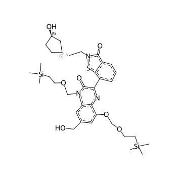 C[Si](C)(C)CCOCOc1cc(CO)cc2c1nc(-c1cccc3c(=O)n(CC[C@@H]4CC[C@@H](O)C4)sc13)c(=O)n2COCC[Si](C)(C)C